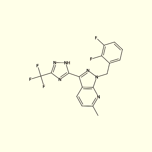 Cc1ccc2c(-c3nc(C(F)(F)F)n[nH]3)nn(Cc3cccc(F)c3F)c2n1